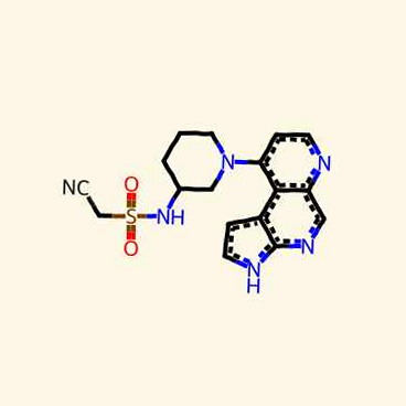 N#CCS(=O)(=O)NC1CCCN(c2ccnc3cnc4[nH]ccc4c23)C1